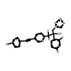 OC(Cn1cnnn1)(c1ccc(Cl)cc1F)C(F)(F)c1ccc(C#Cc2ccc(F)cc2)cn1